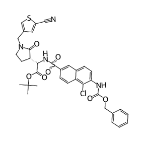 CC(C)(C)OC(=O)C(NS(=O)(=O)c1ccc2c(Cl)c(NC(=O)OCc3ccccc3)ccc2c1)[C@@H]1CCN(Cc2csc(C#N)c2)C1=O